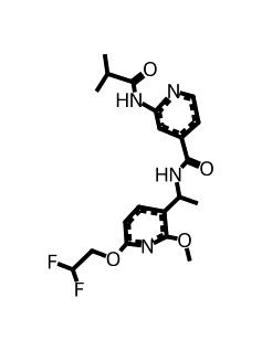 COc1nc(OCC(F)F)ccc1C(C)NC(=O)c1ccnc(NC(=O)C(C)C)c1